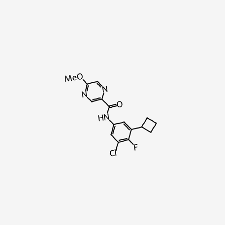 COc1cnc(C(=O)Nc2cc(Cl)c(F)c(C3CCC3)c2)cn1